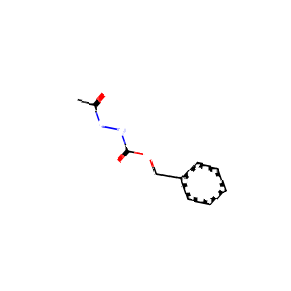 CCC(=O)NNC(=O)OCc1ccccc1